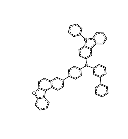 c1ccc(-c2cccc(N(c3ccc(-c4ccc5c(ccc6oc7ccccc7c65)c4)cc3)c3ccc4c(c3)c3ccccc3n4-c3ccccc3)c2)cc1